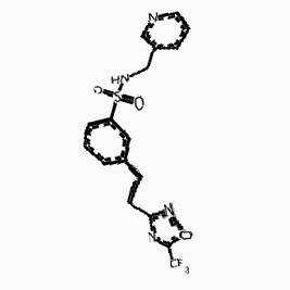 O=S(=O)(NCc1cccnc1)c1cccc(C=Cc2noc(C(F)(F)F)n2)c1